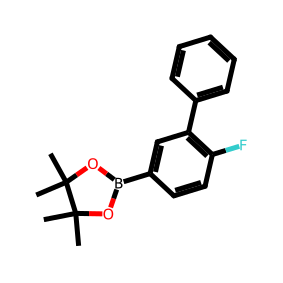 CC1(C)OB(c2ccc(F)c(-c3ccccc3)c2)OC1(C)C